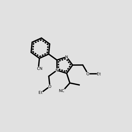 CCOCc1nc(-c2ccccc2C#N)n(COCC)c1C(C)C#N